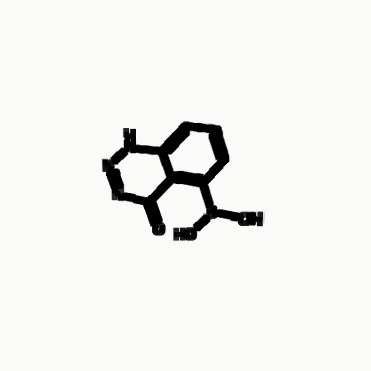 O=c1nn[nH]c2cccc(B(O)O)c12